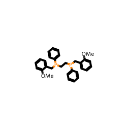 COc1ccccc1CP(CCP(Cc1ccccc1OC)c1ccccc1)c1ccccc1